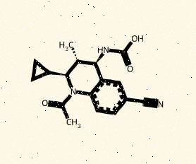 CC(=O)N1c2ccc(C#N)cc2[C@H](NC(=O)O)[C@@H](C)[C@@H]1C1CC1